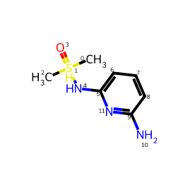 C[SH](C)(=O)Nc1cccc(N)n1